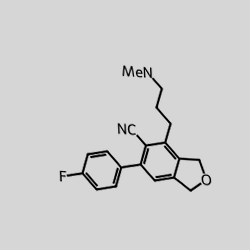 CNCCCc1c(C#N)c(-c2ccc(F)cc2)cc2c1COC2